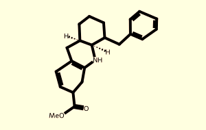 COC(=O)C1C=CC2=C(C1)N[C@@H]1C(Cc3ccccc3)CCC[C@@H]1C2